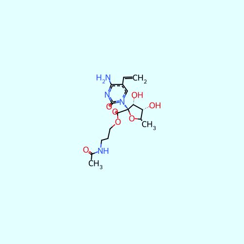 C=Cc1cn([C@]2(C(=O)OCCCNC(C)=O)O[C@H](C)[C@@H](O)[C@H]2O)c(=O)nc1N